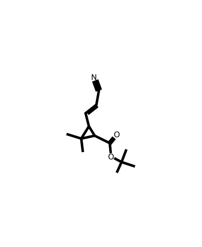 CC(C)(C)OC(=O)C1C(C=CC#N)C1(C)C